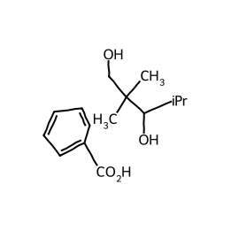 CC(C)C(O)C(C)(C)CO.O=C(O)c1ccccc1